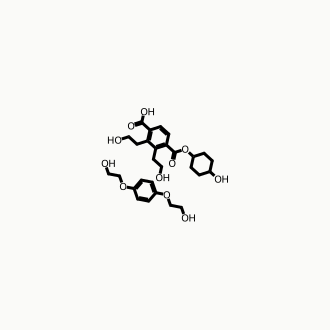 O=C(O)c1ccc(C(=O)OC2CCC(O)CC2)c(CCO)c1CCO.OCCOc1ccc(OCCO)cc1